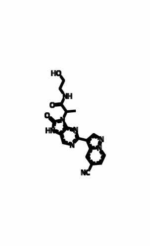 CC(C(=O)NCCO)n1c(=O)[nH]c2cnc(-c3cnn4ccc(C#N)cc34)nc21